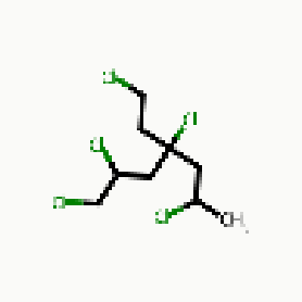 CC(Cl)CC(Cl)(CCCl)CC(Cl)CCl